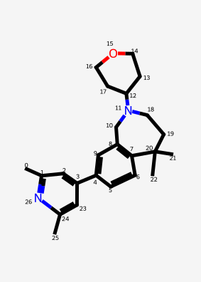 Cc1cc(-c2ccc3c(c2)CN(C2CCOCC2)CCC3(C)C)cc(C)n1